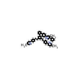 Cc1ccc(-c2ccc(CCc3cc(CCc4ccc(-c5ccc(C)cn5)cc4)cc(-c4ccccc4-c4ccc(-c5cc(C)c(-c6ccccc6)cn5)cc4)c3)cc2)nc1